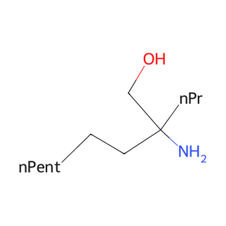 CCCCCCCC(N)(CO)CCC